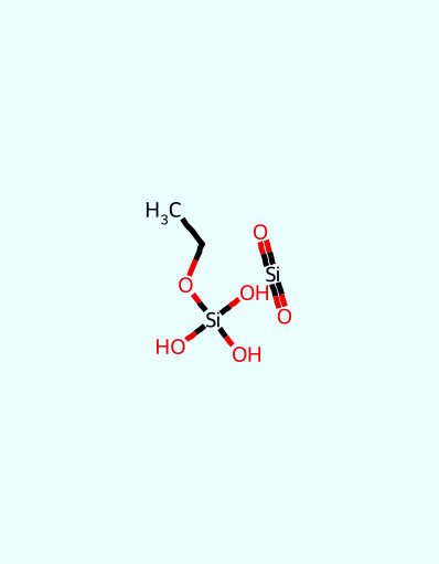 CCO[Si](O)(O)O.O=[Si]=O